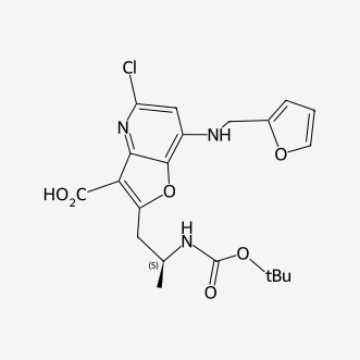 C[C@@H](Cc1oc2c(NCc3ccco3)cc(Cl)nc2c1C(=O)O)NC(=O)OC(C)(C)C